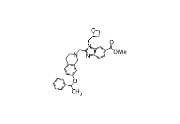 COC(=O)c1ccc2nc(CN3CCc4ccc(OC(C)c5ccccc5)cc4C3)n(CC3CCO3)c2c1